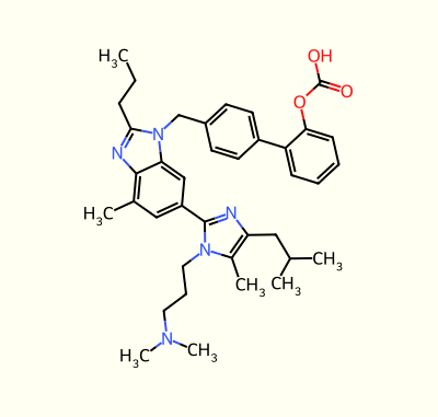 CCCc1nc2c(C)cc(-c3nc(CC(C)C)c(C)n3CCCN(C)C)cc2n1Cc1ccc(-c2ccccc2OC(=O)O)cc1